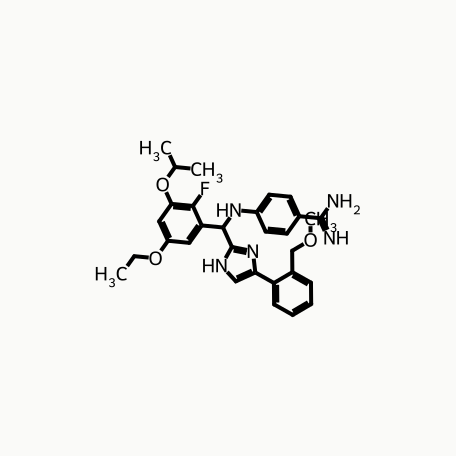 CCOc1cc(OC(C)C)c(F)c(C(Nc2ccc(C(=N)N)cc2)c2nc(-c3ccccc3COC)c[nH]2)c1